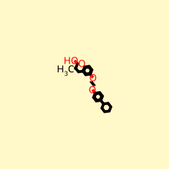 CC(Cc1cccc(OCCOc2ccc(C3CCCCC3)cc2)c1)C(=O)O